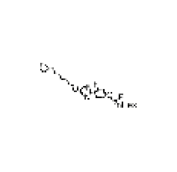 CCCCCC[C@@H](F)COc1ccc(-c2ncc(OCCCCCCCC3CCCC3)cn2)c(F)c1